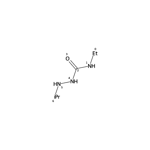 CCNC(=O)NNC(C)C